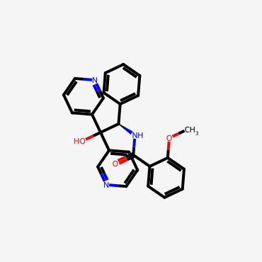 COc1ccccc1C(=O)N[C@H](c1ccccc1)C(O)(c1cccnc1)c1cccnc1